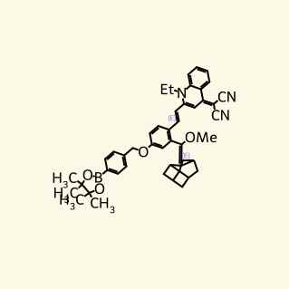 CCN1C(/C=C/c2ccc(OCc3ccc(B4OC(C)(C)C(C)(C)O4)cc3)cc2/C(OC)=C2/C3CC4CC5CC2C45C3)=CC(=C(C#N)C#N)c2ccccc21